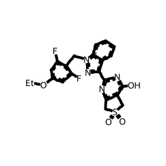 CCOc1cc(F)c(Cn2nc(-c3nc(O)c4c(n3)CS(=O)(=O)C4)c3ccccc32)c(F)c1